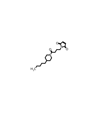 CCCCCC1CCN(C(=O)CCCN2C(=O)C=CC2=O)CC1